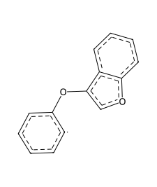 [c]1ccccc1Oc1coc2ccccc12